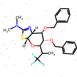 CC(C1O[C@@H]2SC(N(C)C)=N[C@@H]2[C@@H](OCc2ccccc2)[C@@H]1OCc1ccccc1)C(F)(F)F